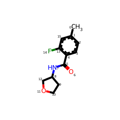 Cc1ccc(C(=O)NC2CCOC2)c(F)c1